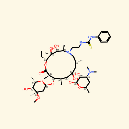 CC[C@H]1OC(=O)[C@H](C)[C@@H](O[C@H]2C[C@@](C)(OC)[C@@H](O)[C@H](C)O2)[C@H](C)[C@@H](O[C@@H]2O[C@H](C)C[C@H](N(C)C)[C@H]2O)[C@](C)(O)C[C@@H](C)CN(CCNC(=S)Nc2ccccc2)[C@H](C)[C@@H](O)[C@]1(C)O